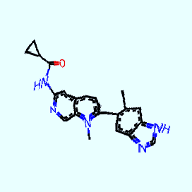 Cc1cc2[nH]cnc2cc1-c1cc2cc(NC(=O)C3CC3)ncc2n1C